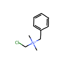 C[N+](C)(CCl)Cc1ccccc1